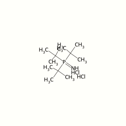 CC(C)(C)P(=N)(C(C)(C)C)C(C)(C)C.Cl.Cl